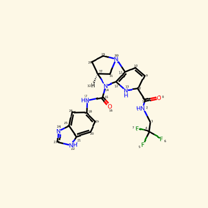 O=C(NCC(F)(F)F)C1C=CC2=C(N1)N(C(=O)Nc1ccc3[nH]cnc3c1)[C@H]1CCN2C1